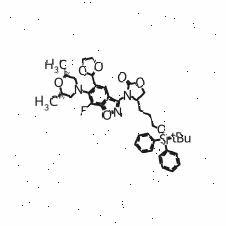 C[C@@H]1CN(c2c(C3OCCO3)cc3c(N4C(=O)OCC4CCCO[Si](c4ccccc4)(c4ccccc4)C(C)(C)C)noc3c2F)C[C@@H](C)O1